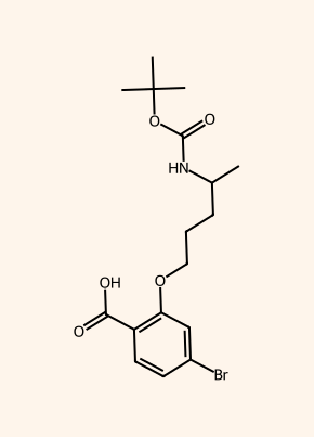 CC(CCCOc1cc(Br)ccc1C(=O)O)NC(=O)OC(C)(C)C